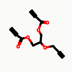 C#CCOC(COC(=O)C#C)COC(=O)C#C